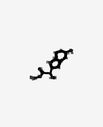 COC(=O)C(O)c1cc2cc(Br)ccc2o1